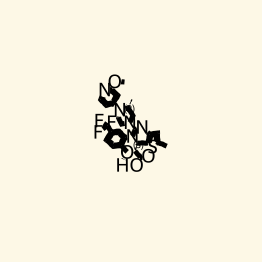 COc1cc(N2CCN(C3=Nc4cc(C)sc4[C@H](CC(=O)O)N3c3cc(C(F)(F)F)ccc3OC)C[C@H]2C)ccn1